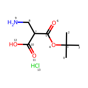 CC(C)(C)OC(=O)C(CN)C(=O)O.Cl